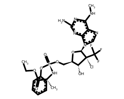 CCOC(=O)[C@@H](C)N[P@@](=O)(OC[C@H]1O[C@@H](n2cnc3c(NC)nc(N)nc32)[C@@](Cl)(C(F)(F)F)[C@@H]1O)Oc1ccccc1